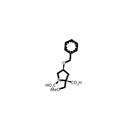 COC[C@@]1(C(=O)O)C[C@H](OCc2ccccc2)CN1C(=O)O